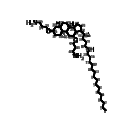 CCCCCCCCCCCCCCCCNCCC[C@@H](C)C1CCC2[C@@H]3CC[C@@H]4C[C@H](OCCCN)CC[C@]4(C)C3C[C@H](OCCCN)[C@@]21C